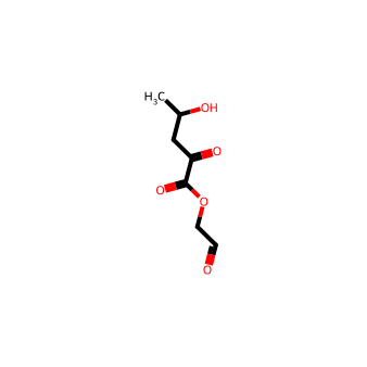 CC(O)CC(=O)C(=O)OCC=O